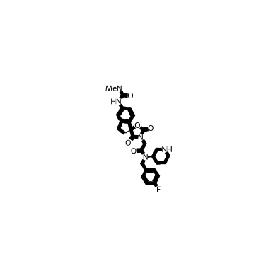 CNC(=O)Nc1ccc2c(c1)CC[C@@]21OC(=O)N(CC(=O)N(Cc2ccc(F)cc2)[C@@H]2CCCNC2)C1=O